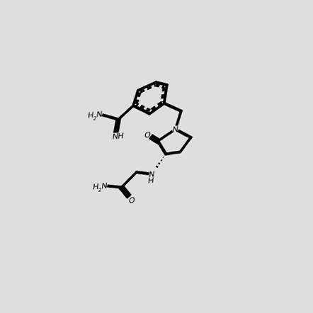 N=C(N)c1cccc(CN2CC[C@H](NCC(N)=O)C2=O)c1